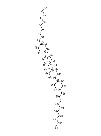 CCCCCCCCCC[C@H]1CC[C@H](C2CCC3(CC2)CC2(CCC([C@H]4CC[C@H](CCCCCCCCCC)CC4)CC2)C3)CC1